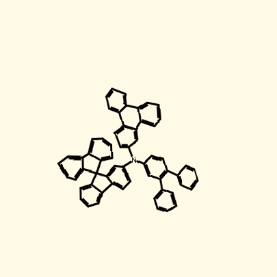 c1ccc(-c2ccc(N(c3ccc4c(c3)C3(c5ccccc5-c5ccccc53)c3ccccc3-4)c3ccc4c5ccccc5c5ccccc5c4c3)cc2-c2ccccc2)cc1